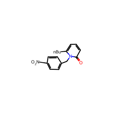 CCCCc1cccc(=O)n1Cc1ccc([N+](=O)[O-])cc1